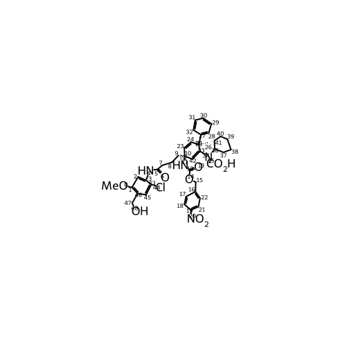 COc1cc(NC(=O)CCC[C@]2(NC(=O)OCc3ccc([N+](=O)[O-])cc3)C=C[C@@](C)(c3ccccc3)C(N(C(=O)O)C3CCCCC3)=C2)c(Cl)cc1CO